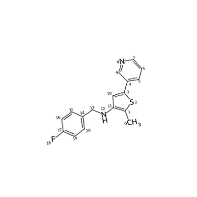 Cc1sc(-c2cccnc2)cc1NCc1ccc(F)cc1